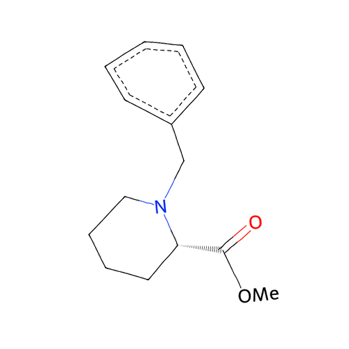 COC(=O)[C@@H]1CCCCN1Cc1ccccc1